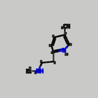 CCNCCc1ccc(C#N)cn1